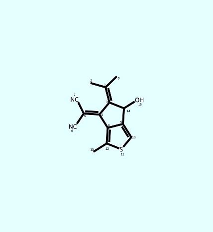 CC(C)=C1C(=C(C#N)C#N)c2c(csc2C)C1O